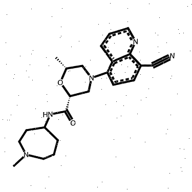 C[C@@H]1CN(c2ccc(C#N)c3ncccc23)C[C@H](C(=O)NC2CCCN(C)CC2)O1